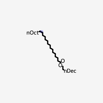 CCCCCCCC/C=C\CCCCCCCCCCCCCC(=O)OCCCCCCCCCCCC